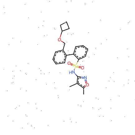 Cc1onc(NS(=O)(=O)c2ccccc2-c2ccccc2COC2CCC2)c1C